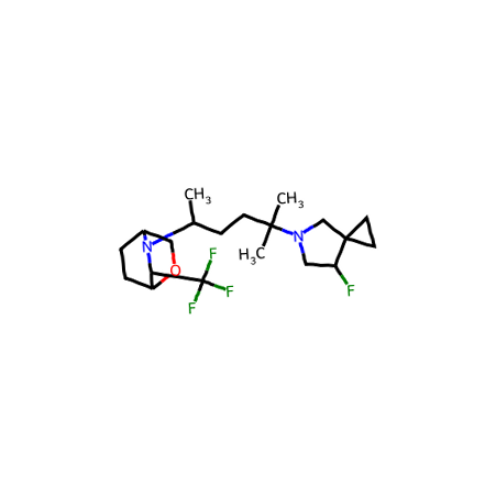 CC(CCC(C)(C)N1CC(F)C2(CC2)C1)N1C2CCC(OC2)C1C(F)(F)F